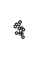 c1ccc(-c2nc(-c3ccccc3)nc(-c3cccc4oc5c(-c6cc7ccccc7c7ccc8ccccc8c67)cccc5c34)n2)cc1